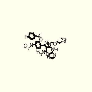 C[C@H](Oc1cc([N+](=O)[O-])ccc1-c1nn(COCC[Si](C)(C)C)c(Nc2cnccn2)c1C(N)=O)c1ccc(F)cc1